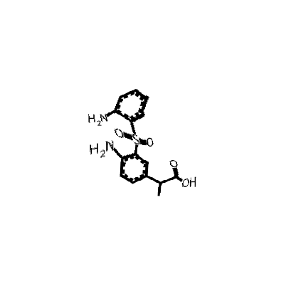 CC(C(=O)O)c1ccc(N)c(S(=O)(=O)c2ccccc2N)c1